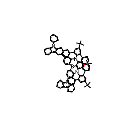 CC(C)(C)c1cc(-c2ccccc2)c(N2c3cc(-c4ccc5c(c4)c4ccccc4n5-c4ccccc4)ccc3B3c4ccc(-n5c6ccccc6c6ccccc65)cc4N(c4c(-c5ccccc5)cc(C(C)(C)C)cc4-c4ccccc4)c4cc(C(C)(C)C)cc2c43)c(-c2ccccc2)c1